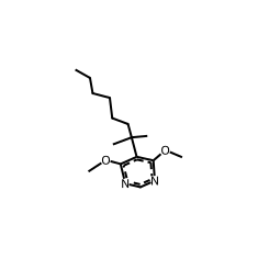 CCCCCCC(C)(C)c1c(OC)ncnc1OC